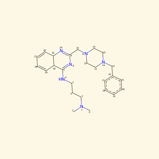 CN(C)CCCNC1=NC(CN2CCN(Cc3ccccc3)CC2)=NC2C=CC=CC12